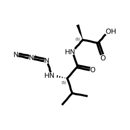 CC(C)[C@H](NN=[N+]=[N-])C(=O)N[C@@H](C)C(=O)O